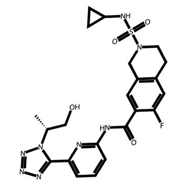 C[C@H](CO)n1nnnc1-c1cccc(NC(=O)c2cc3c(cc2F)CCN(S(=O)(=O)NC2CC2)C3)n1